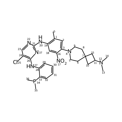 Cc1cc(N2CCC3(CC2)CC(N(C)C)C3)c([N+](=O)[O-])cc1Nc1ncc(Cl)c(Nc2ccccc2P(C)C)n1